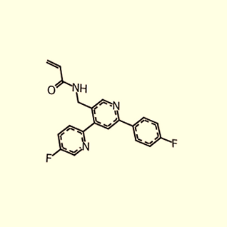 C=CC(=O)NCc1cnc(-c2ccc(F)cc2)cc1-c1ccc(F)cn1